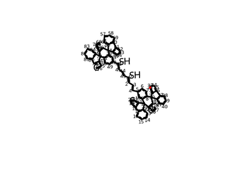 SC(=C\C=C\c1ccc2c(c1)C1(c3ccccc3-c3ccccc31)c1ccccc1C21C2=CCCC=C2c2ccccc21)/C=C/C=C(\S)c1ccc2c(c1)C1(c3ccccc3-c3ccccc31)c1ccccc1C21c2ccccc2-c2ccccc21